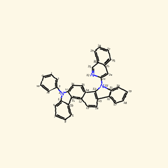 c1ccc(-n2c3ccccc3c3c4ccc5c6ccccc6n(-c6cc7ccccc7cn6)c5c4ccc32)cc1